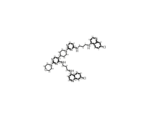 Clc1ccc2c(NCCCNc3ccnc(N4CCC(c5cnc(N6CCOCC6)nc5NCCCNc5ccnc6cc(Cl)ccc56)CC4)n3)ccnc2c1